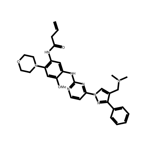 C=CCC(=O)Nc1cc(Nc2nccc(-n3cc(CN(C)C)c(-c4ccccc4)n3)n2)c(OC)cc1N1CCOCC1